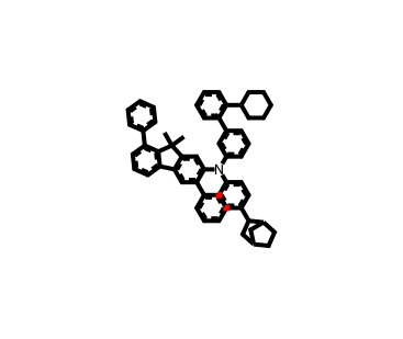 CC1(C)c2cc(N(c3ccc(C4CC5CCC4C5)cc3)c3cccc(-c4ccccc4C4CCCCC4)c3)c(-c3ccccc3)cc2-c2cccc(-c3ccccc3)c21